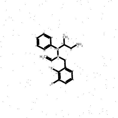 C=CP(Cc1cccc(F)c1F)N(c1ccccc1)C(C)CN